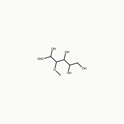 O=CC(O)C(OF)C(O)C(O)CO